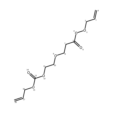 C=CCOOC(=O)CCOCCOC(=O)OCC=C